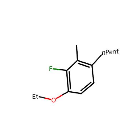 CCCCCc1ccc(OCC)c(F)c1C